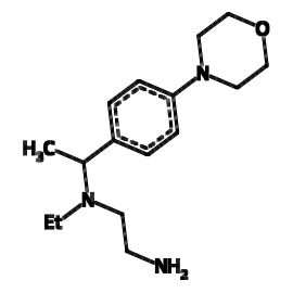 CCN(CCN)C(C)c1ccc(N2CCOCC2)cc1